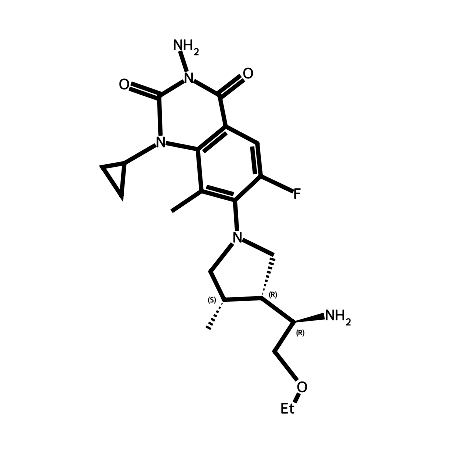 CCOC[C@H](N)[C@H]1CN(c2c(F)cc3c(=O)n(N)c(=O)n(C4CC4)c3c2C)C[C@H]1C